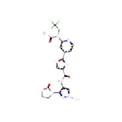 Cn1cc(NC(=O)c2coc(-c3ccnc(N(CC(F)(F)F)C(=O)O)c3)n2)c(N2CCOC2=O)n1